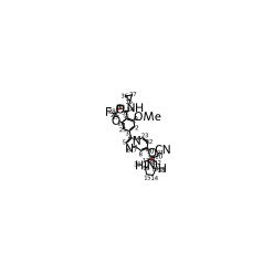 COc1cc(-c2cnc3cc(O[C@@H]4C[C@H]5CC[C@@H](C4)N5CCC#N)ccn23)cc(OC(F)F)c1C(=O)NC1CC1